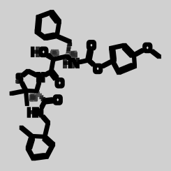 COc1ccc(OC(=O)N[C@@H](Cc2ccccc2)[C@H](O)C(=O)N2CSC(C)(C)[C@H]2C(=O)NCc2ccccc2C)cc1